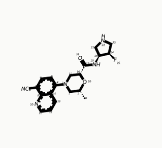 C[C@@H]1CN(c2ccc(C#N)c3ncccc23)C[C@H](C(=O)N[C@H]2CNC[C@H]2F)O1